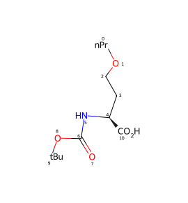 CCCOCC[C@H](NC(=O)OC(C)(C)C)C(=O)O